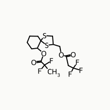 CC(F)(F)C(=O)OC1CCCCC12SCC(COC(=O)CC(F)(F)F)S2